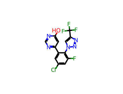 Oc1cc(-c2cc(Cl)cc(F)c2-n2cc(C(F)(F)F)nn2)ncn1